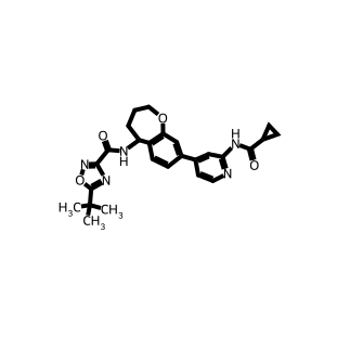 CC(C)(C)c1nc(C(=O)NC2CCCOc3cc(-c4ccnc(NC(=O)C5CC5)c4)ccc32)no1